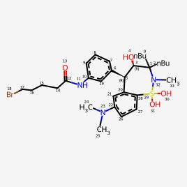 CCCCC1(CCCC)[C@H](O)[C@H](c2cccc(NC(=O)CCCCBr)c2)c2cc(N(C)C)ccc2S(O)(O)N1C